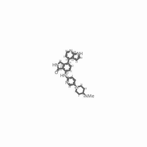 CNC1CCN(c2ccc(Nc3ccc(-c4ccnc5[nH]ccc45)c4c3C(=O)NC4)nc2)CC1